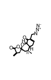 C=C1C[C@@]2(C[C@H](C)[C@H]3CC=C(CN=[N+]=[N-])C(=O)[C@@H]3O2)OC1=O